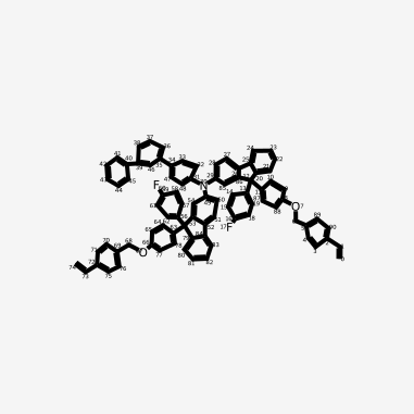 C=Cc1ccc(COc2ccc(C3(c4ccc(F)cc4)c4ccccc4-c4ccc(N(c5ccc(-c6cccc(-c7ccccc7)c6)cc5)c5ccc6c(c5)C(c5ccc(F)cc5)(c5ccc(OCc7ccc(C=C)cc7)cc5)c5ccccc5-6)cc43)cc2)cc1